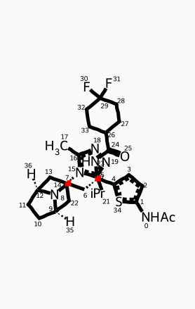 CC(=O)Nc1ccc([C@H](CCN2[C@@H]3CC[C@H]2C[C@H](n2c(C)nnc2C(C)C)C3)NC(=O)C2CCC(F)(F)CC2)s1